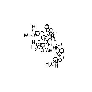 C=C1CCC(N2C(=O)c3cccc(NC(=O)CCCCNC(=O)COc4ccccc4[C@@H](CCc4ccc(OC)c(C)c4)OC(=O)[C@@H]4CCCCN4C(=O)[C@@H](CC)c4cc(C)c(C)c(OC)c4)c3C2=O)C(=O)N1